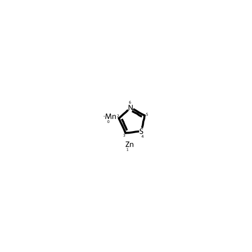 [Mn].[Zn].c1cscn1